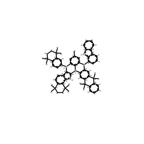 Cc1cc2c3c(c1)N(c1cccc4c1oc1ccccc14)c1cc4c(cc1B3c1sc3c5c(ccc3c1N2c1ccc2c(c1)C(C)(C)CCC2(C)C)C(C)(C)CCC5(C)C)C(C)(C)c1ccccc1C4(C)C